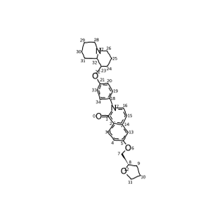 O=c1c2ccc(OC[C@H]3CCCO3)cc2ccn1-c1ccc(OC2CCCN3CCCCC23)cc1